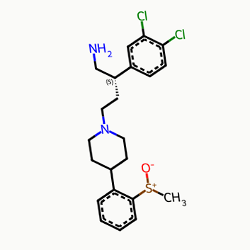 C[S+]([O-])c1ccccc1C1CCN(CC[C@H](CN)c2ccc(Cl)c(Cl)c2)CC1